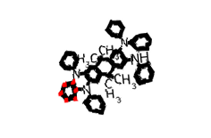 CC1(C)c2cc(Nc3ccccc3)c(N(c3ccccc3)c3ccccc3)cc2C(C)(C)c2cc(N(c3ccccc3)c3ccccc3)c(N(c3ccccc3)c3ccccc3)cc21